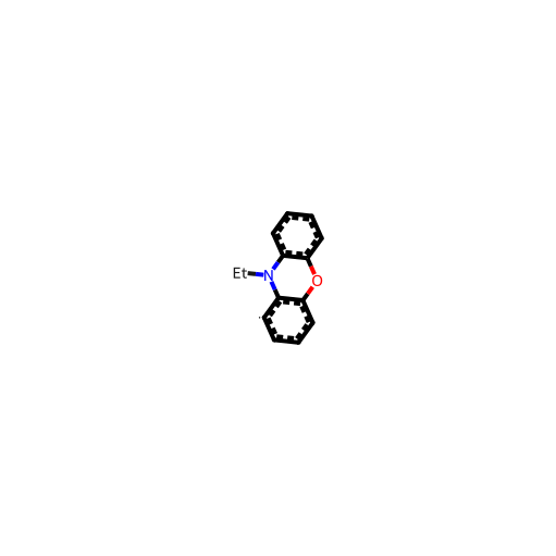 CCN1c2[c]cccc2Oc2ccccc21